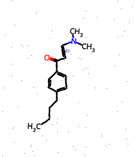 CCCCc1ccc(C(=O)/C=C/N(C)C)cc1